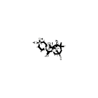 CC1(C)C[C@@H]2CN(C(=O)N3CCS(O)(O)CC3)C[C@H]1N(C(=O)O)C2